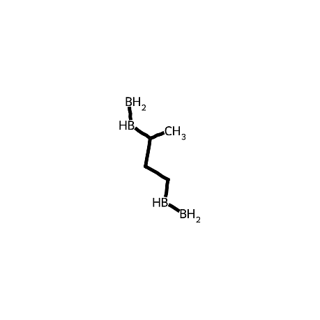 BBCCC(C)BB